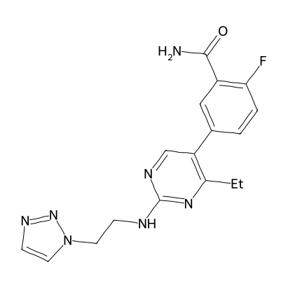 CCc1nc(NCCn2ccnn2)ncc1-c1ccc(F)c(C(N)=O)c1